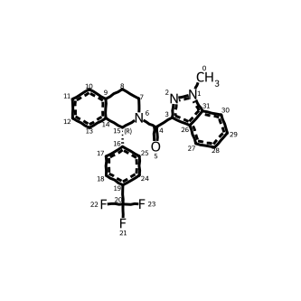 Cn1nc(C(=O)N2CCc3ccccc3[C@H]2c2ccc(C(F)(F)F)cc2)c2ccccc21